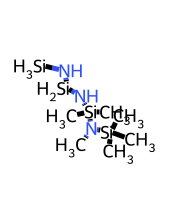 CN([Si](C)(C)C)[Si](C)(C)N[SiH2]N[SiH3]